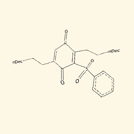 CCCCCCCCCCCCC1=CC(=O)C(CCCCCCCCCCCC)=C(S(=O)(=O)c2ccccc2)C1=O